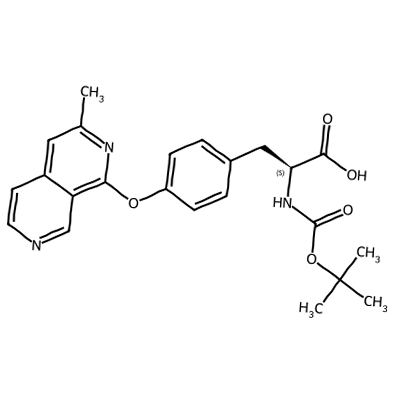 Cc1cc2ccncc2c(Oc2ccc(C[C@H](NC(=O)OC(C)(C)C)C(=O)O)cc2)n1